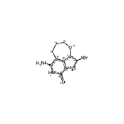 Nc1[nH]c(=O)c2sc(Br)c3c2c1CCCO3